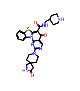 O=C1CC2(CCN(c3ncc4c(=O)c(C(=O)NCC5CCNCC5)c5sc6ccccc6n5c4n3)CC2)CN1